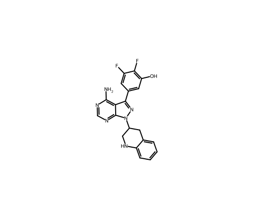 Nc1ncnc2c1c(-c1cc(O)c(F)c(F)c1)nn2C1CNc2ccccc2C1